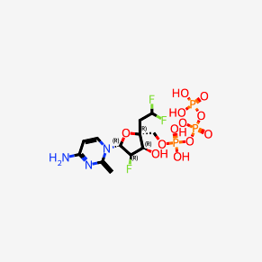 C=C1N=C(N)C=CN1[C@@H]1O[C@@](COP(=O)(O)OP(=O)(O)OP(=O)(O)O)(CC(F)F)[C@@H](O)[C@H]1F